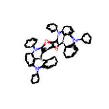 c1ccc(N2c3ccccc3B3c4c2cccc4N(c2ccccc2)c2oc4c5c(oc4c23)B2c3ccccc3N(c3ccccc3)c3cccc(c32)N5c2ccccc2)cc1